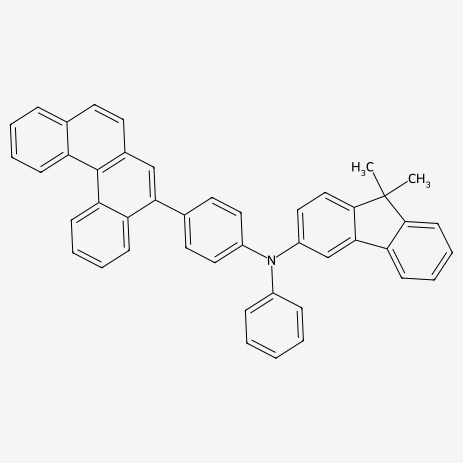 CC1(C)c2ccccc2-c2cc(N(c3ccccc3)c3ccc(-c4cc5ccc6ccccc6c5c5ccccc45)cc3)ccc21